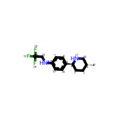 C[C@@H]1CC[C@@H](c2ccc(NCC(F)(F)F)cc2)NC1